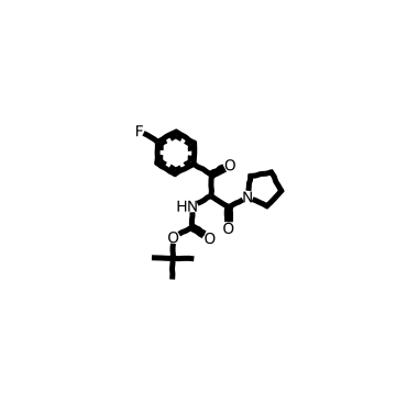 CC(C)(C)OC(=O)NC(C(=O)c1ccc(F)cc1)C(=O)N1CCCC1